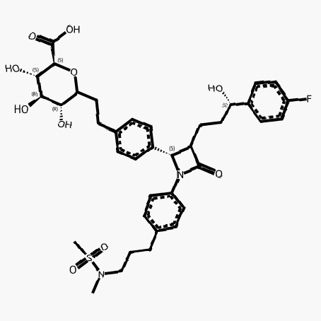 CN(CCCc1ccc(N2C(=O)C(CC[C@H](O)c3ccc(F)cc3)[C@H]2c2ccc(CCC3O[C@H](C(=O)O)[C@@H](O)[C@H](O)[C@H]3O)cc2)cc1)S(C)(=O)=O